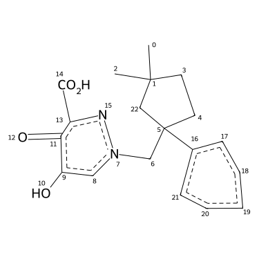 CC1(C)CCC(Cn2cc(O)c(=O)c(C(=O)O)n2)(c2ccccc2)C1